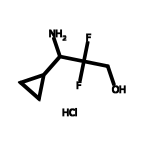 Cl.NC(C1CC1)C(F)(F)CO